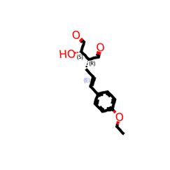 CCOc1ccc(/C=C/C[C@@H](C=O)[C@H](O)C=O)cc1